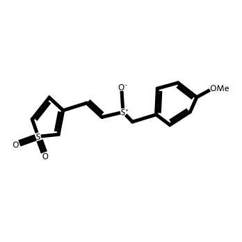 COc1ccc(C[S+]([O-])/C=C/C2=CS(=O)(=O)C=C2)cc1